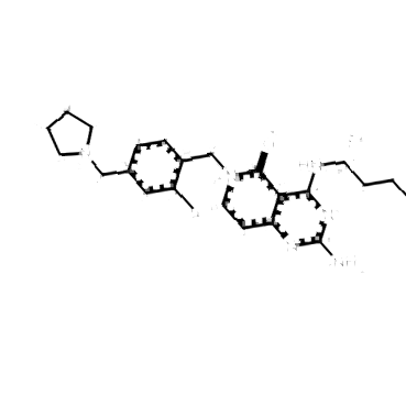 CCC[C@@H](C)Nc1nc(N)nc2ccn(Cc3ccc(CN4CCCC4)cc3C)c(=O)c12